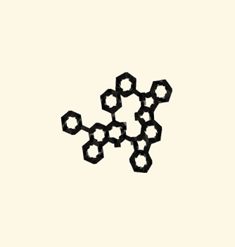 c1ccc(-c2cc3c(-c4ccccc4)nc(-n4c5ccccc5c5ccc6c(sc7c6c6ccccc6n7-c6ccccc6)c54)nc3c3ccccc23)cc1